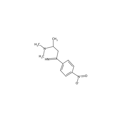 CC(CC(=N)c1ccc([N+](=O)[O-])cc1)N(C)C